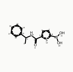 CC(NC(=O)c1ccc(B(O)O)s1)c1ccccc1